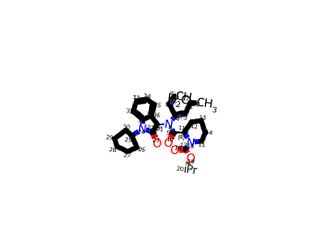 C=C(C)/C=C(\C=C/C)N(C(=O)[C@H]1CCCCN1C(=O)OC(C)C)[C@@H]1C(=O)N(C2CCCCC2)c2ccccc21